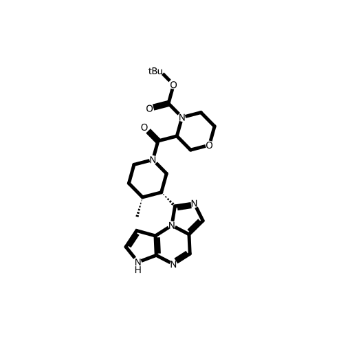 C[C@@H]1CCN(C(=O)C2COCCN2C(=O)OC(C)(C)C)C[C@@H]1c1ncc2cnc3[nH]ccc3n12